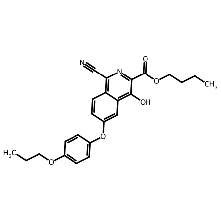 CCCCOC(=O)c1nc(C#N)c2ccc(Oc3ccc(OCCC)cc3)cc2c1O